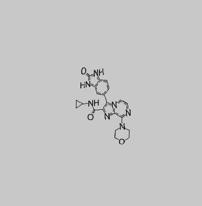 O=C(NC1CC1)c1nc2c(N3CCOCC3)nccn2c1-c1ccc2[nH]c(=O)[nH]c2c1